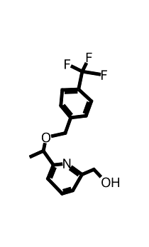 CC(OCc1ccc(C(F)(F)F)cc1)c1cccc(CO)n1